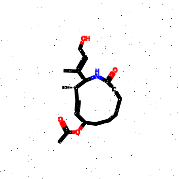 CC(=O)OC1/C=C/[C@H](C)C(/C(C)=C/CO)NC(=O)CCCCC1